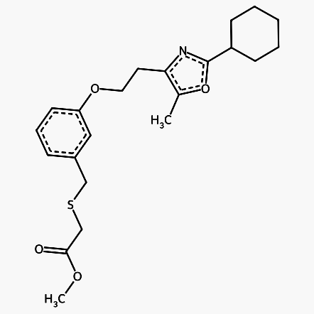 COC(=O)CSCc1cccc(OCCc2nc(C3CCCCC3)oc2C)c1